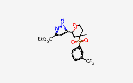 CCOC(=O)c1cc(C2CC(C)(S(=O)(=O)c3cccc(C(F)(F)F)c3)CCO2)[nH]n1